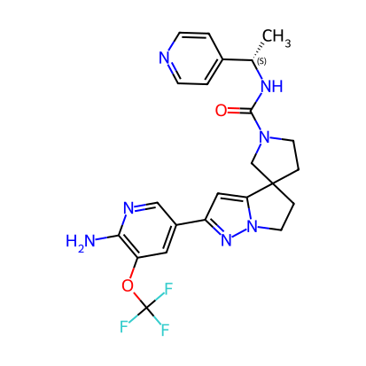 C[C@H](NC(=O)N1CCC2(CCn3nc(-c4cnc(N)c(OC(F)(F)F)c4)cc32)C1)c1ccncc1